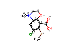 CSc1c(Cl)cc2c(c1C(=O)O)OCCN2C